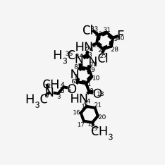 CN(C)CCOc1nc2c(cc1C(=O)N[C@H]1CC[C@H](C)CC1)nc(Nc1c(Cl)cc(F)cc1Cl)n2C